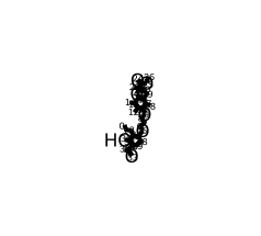 CCCc1c(OCCCOc2c(C)c(C)c3c(c2C)CCC(C)(C(=O)OC)O3)ccc(C(C)=O)c1O